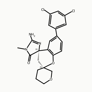 CN1C(=O)[C@@]2(C[C@]3(CCCOC3)Oc3ccc(-c4cc(Cl)cc(Cl)c4)cc32)N=C1N